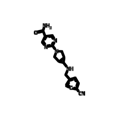 N#Cc1ccc(CNC2C3CN(c4ncc(C(N)=O)cn4)CC32)cc1